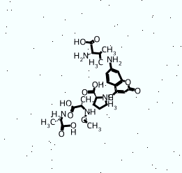 CC(C)[C@H](N)C(=O)O.CON[C@@H](C)C(=O)O.C[C@H](N)C(=O)O.Cc1cc(=O)oc2cc(N)ccc12.O=C(O)[C@@H]1CCCN1